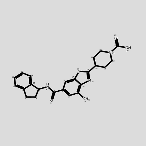 Cc1cc(C(=O)NC2CCc3ccccc32)cc2sc(C3CCN(C(=O)O)CC3)nc12